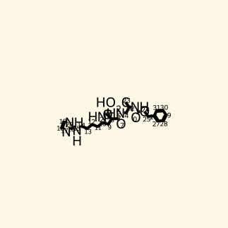 O=C(NC(CNC(=O)C1CC(CCCCNc2ncc[nH]2)NO1)C(=O)O)OCc1ccccc1